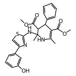 COC(=O)C1=C(C)NC(C)(Nc2nc(-c3cccc(O)c3)cs2)C(C(=O)OC)C1c1ccccc1